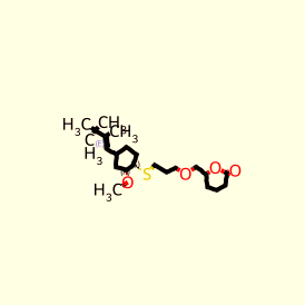 CO[C@@H]1CC(/C=C(\C)C(C)(C)C)CC[C@@H]1SCCCOCC1CCCC(=O)O1